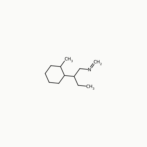 C=NCC(CC)C1CCCCC1C